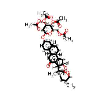 CC(=O)OC[C@H]1O[C@@H](O[C@H]2CC[C@@]3(C)[C@@H](CC[C@@H]4[C@@H]3CC(=O)[C@]3(C)[C@@H]5[C@H](C[C@@H]43)O[C@]3(CC[C@@H](C)CO3)[C@H]5C)C2)[C@H](OC(C)=O)[C@@H](OC(C)=O)[C@H]1OC(C)=O